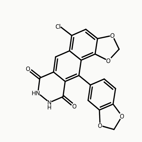 O=c1[nH][nH]c(=O)c2c(-c3ccc4c(c3)OCO4)c3c4c(cc(Cl)c3cc12)OCO4